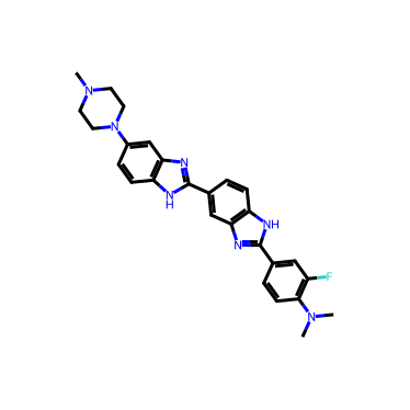 CN1CCN(c2ccc3[nH]c(-c4ccc5[nH]c(-c6ccc(N(C)C)c(F)c6)nc5c4)nc3c2)CC1